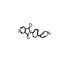 O=C1c2ccncc2C(=O)N1c1ccc(-c2ccncc2)cc1